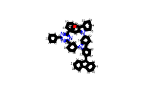 c1ccc(-c2nc(-c3ccccc3)nc(-c3cccc(-n4c5cc(C6c7ccccc7-c7ccccc76)ccc5c5ccc(-n6c7ccccc7c7ccccc76)cc54)c3)n2)cc1